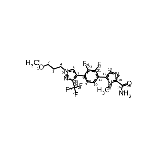 COCCCn1cc(-c2ccc(-c3cnc(C(N)=O)n3C)c(F)c2F)c(C(F)(F)F)n1